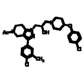 CC(=O)N1CCc2c(c(-c3ccc(Cl)c(C)c3)nn2CC(O)CN2CCC(Oc3ccc(Cl)cc3)CC2)C1